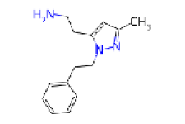 Cc1cc(CCN)n(CCc2ccccc2)n1